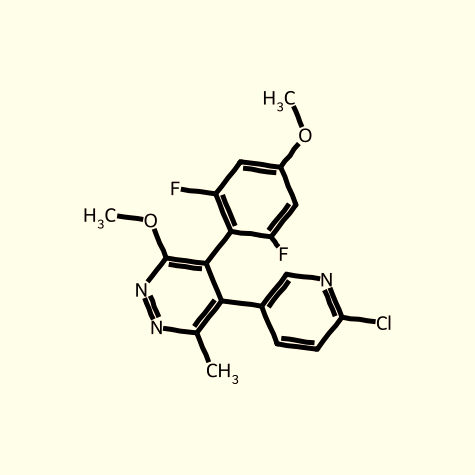 COc1cc(F)c(-c2c(OC)nnc(C)c2-c2ccc(Cl)nc2)c(F)c1